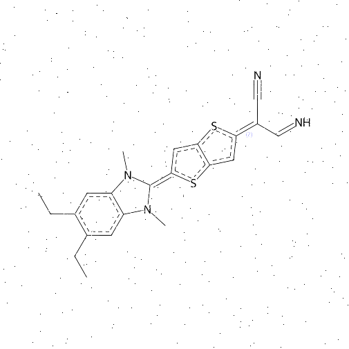 CCc1cc2c(cc1CC)N(C)C(=c1cc3s/c(=C(\C#N)C=N)cc3s1)N2C